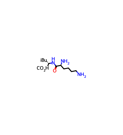 CCC(C)[C@H](NC(=O)[C@@H](N)CCCCN)C(=O)O